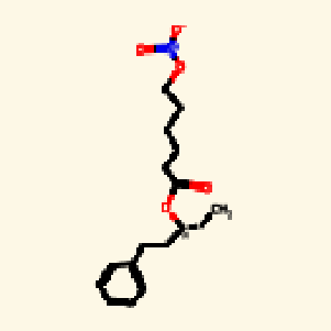 CC[C@H](CCc1ccccc1)OC(=O)CCCCCO[N+](=O)[O-]